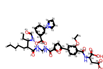 CCCCCC(C(=O)NCNC(=O)c1ccc(-c2ccc(C(=O)NC(CC(=O)O)C(=O)O)c(OCC)c2)o1)C(CC)N(C=O)OC(=O)c1cccc(-n2cccc2)c1